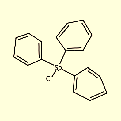 [Cl][Sb]([c]1ccccc1)([c]1ccccc1)[c]1ccccc1